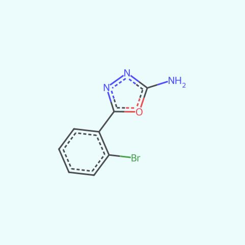 Nc1nnc(-c2ccccc2Br)o1